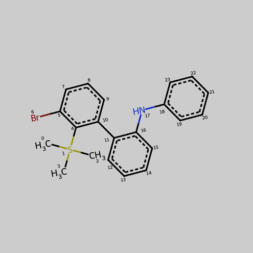 CS(C)(C)c1c(Br)cccc1-c1ccccc1Nc1ccccc1